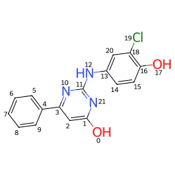 Oc1cc(-c2ccccc2)nc(Nc2ccc(O)c(Cl)c2)n1